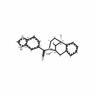 CC1[C@H]2Cc3ccccc3[C@]1(C)CCN2C(=O)c1ccc2nc[nH]c2c1